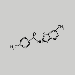 Cc1ccc(C(=O)Nc2nc3ccc(C)cc3s2)cc1